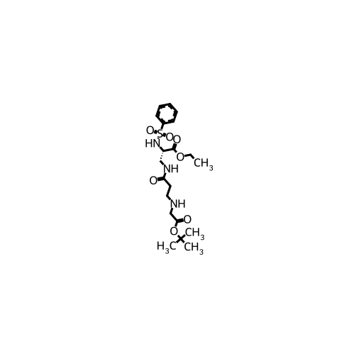 CCOC(=O)[C@H](CNC(=O)CCNCC(=O)OC(C)(C)C)NS(=O)(=O)c1ccccc1